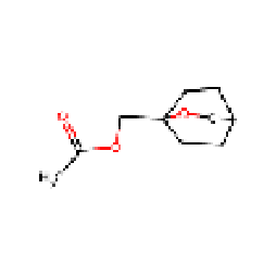 CC(=O)OCC12CCC(CC1)CO2